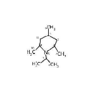 CC1CC(C)N(C(C)C)C(C)C1